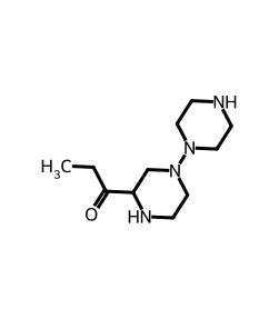 CCC(=O)C1CN(N2CCNCC2)CCN1